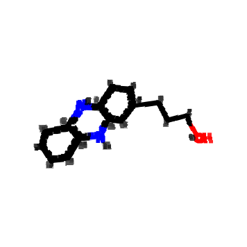 OCCCc1ccc2nc3ccccc3nc2c1